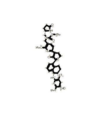 COc1nc(N[C@H]2CCCc3c(-c4nccc(-c5ccc(CN(C[C@@H]6CCC(=O)N6)C(=O)OC(C)(C)C)c(OC)n5)c4Cl)cccc32)c(C(F)(F)F)cc1C=O